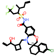 C=CCC(C)C(CC(F)(F)F)S(=O)(=O)NC(=O)c1ccc2c(c1)N(CC1CCC1C(O)C=C)C[C@@]1(CCCc3cc(Cl)ccc31)CO2